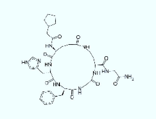 NC(=O)CNC(=O)[C@@H]1CCNC(=O)CC[C@H](NC(=O)CC2CCCC2)C(=O)N[C@@H](Cc2c[nH]cn2)C(=O)N[C@H](Cc2ccccc2)C(=O)NCC(=O)N1